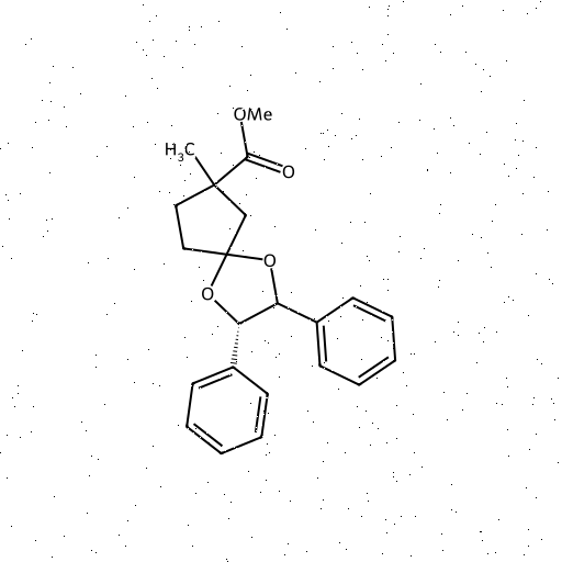 COC(=O)C1(C)CCC2(C1)OC(c1ccccc1)[C@H](c1ccccc1)O2